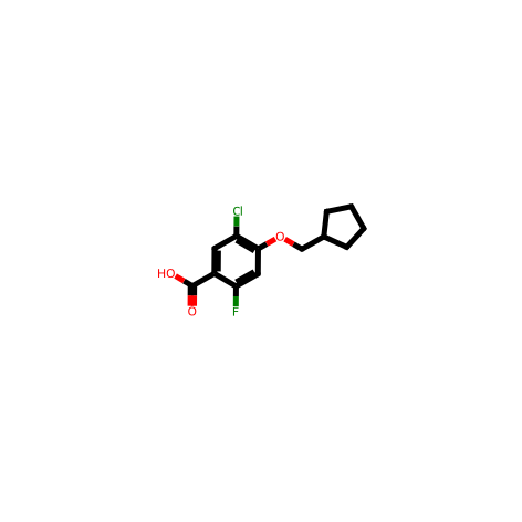 O=C(O)c1cc(Cl)c(OCC2CCCC2)cc1F